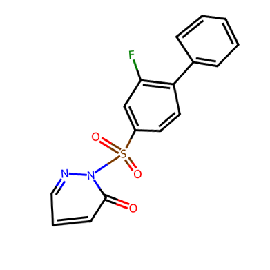 O=c1cccnn1S(=O)(=O)c1ccc(-c2ccccc2)c(F)c1